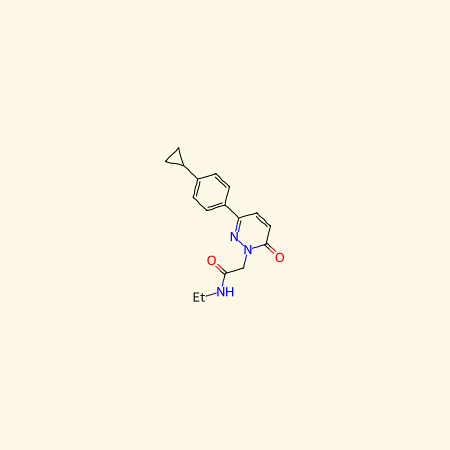 CCNC(=O)Cn1nc(-c2ccc(C3CC3)cc2)ccc1=O